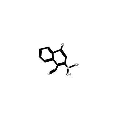 O=Cc1c(B(O)O)cc(Cl)c2ccccc12